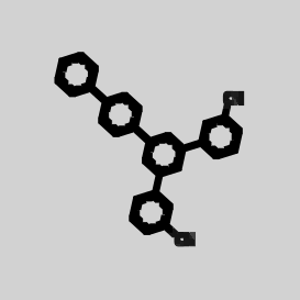 N#Cc1cccc(-c2cc(-c3ccc(-c4ccccc4)cc3)cc(-c3cccc(C#N)c3)c2)c1